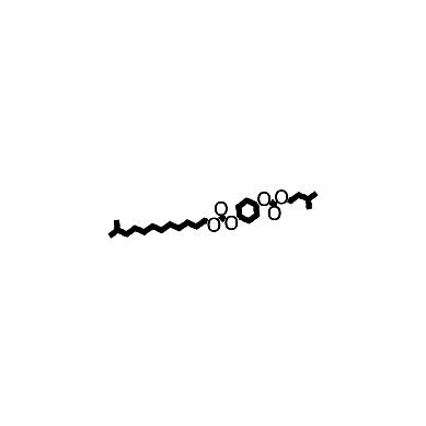 CC(C)CCCCCCCCCCOC(=O)OC1CCC(OC(=O)OCCC(C)C)CC1